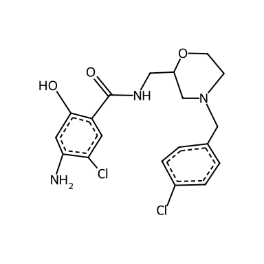 Nc1cc(O)c(C(=O)NCC2CN(Cc3ccc(Cl)cc3)CCO2)cc1Cl